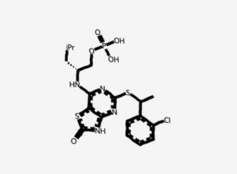 CC(C)C[C@H](COP(=O)(O)O)Nc1nc(SC(C)c2ccccc2Cl)nc2[nH]c(=O)sc12